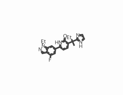 CCn1ncc2c(F)cc(-c3ccc(C(C)(CC)c4ncc[nH]4)c(=O)[nH]3)cc21